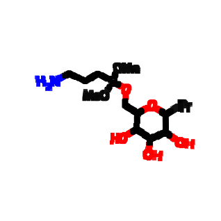 CO[Si](CCCN)(OC)OCC1OC(C(C)C)C(O)C(O)C1O